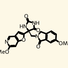 COc1ccc2c(c1)C(=O)N(C[C@@]1(c3cc4cnc(OC)cc4o3)NC(=O)NC1=O)C2